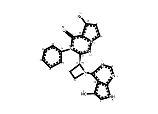 N#Cc1c[nH]c2ncnc(N3CC[C@H]3c3nn4ccc(Br)c4c(=O)n3-c3ccccc3)c12